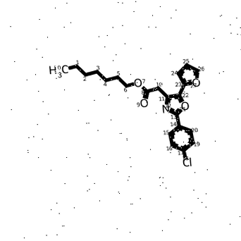 CCCCCCCOC(=O)Cc1nc(-c2ccc(Cl)cc2)oc1-c1ccco1